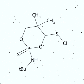 CC(C)(C)NP1(=S)OCC(C)(C)C(SCl)O1